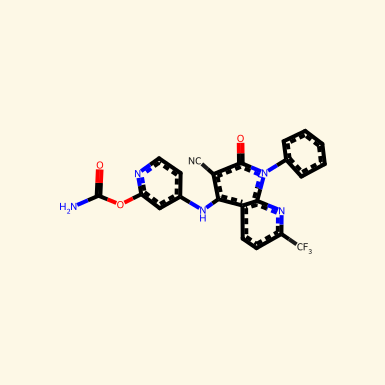 N#Cc1c(Nc2ccnc(OC(N)=O)c2)c2ccc(C(F)(F)F)nc2n(-c2ccccc2)c1=O